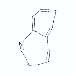 [C]1C=Cc2ccccc2N=C1